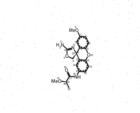 COc1ccc2c(c1)[C@]1(COC(N)=N1)c1cc(NC(=O)[C@@H](C)OC)ccc1O2